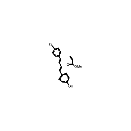 C=CC(=O)OC.CCc1ccc(C=CC=Cc2ccc(O)cc2)cc1